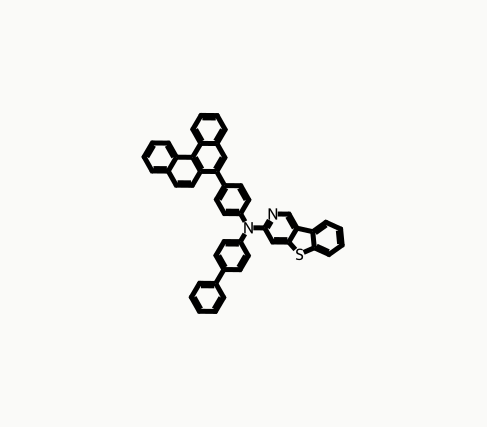 c1ccc(-c2ccc(N(c3ccc(-c4cc5ccccc5c5c4ccc4ccccc45)cc3)c3cc4sc5ccccc5c4cn3)cc2)cc1